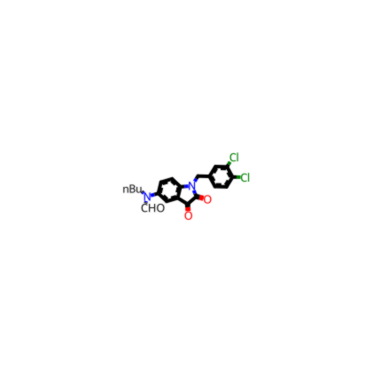 CCCCN(C=O)c1ccc2c(c1)C(=O)C(=O)N2Cc1ccc(Cl)c(Cl)c1